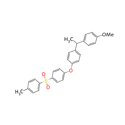 COc1ccc(C(C)c2ccc(Oc3ccc(S(=O)(=O)c4ccc(C)cc4)cc3)cc2)cc1